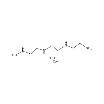 NCCNCCNCCNO.O.[Co+3]